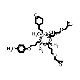 Cc1ccc(OCCC[Si]2(C)O[Si](C)(CCCOCC3CO3)O[Si](C)(CCCOCC3CO3)O[Si](C)(CCC3CCC4OC4C3)O2)cc1